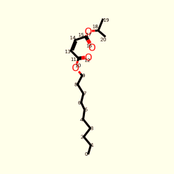 CCCCCCCCCCOC(=O)/C=C\C(=O)OC(C)C